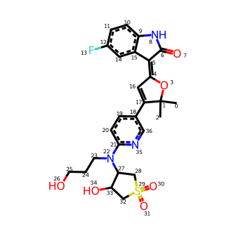 CC1(C)OC(=C2C(=O)Nc3ccc(F)cc32)C=C1c1ccc(N(CCCO)C2CS(=O)(=O)CC2O)nc1